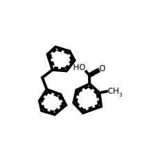 Cc1ccccc1C(=O)O.c1ccc(Cc2ccccc2)cc1